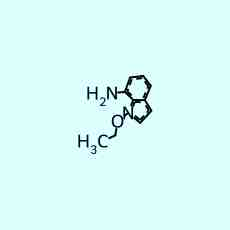 CCOn1ccc2cccc(N)c21